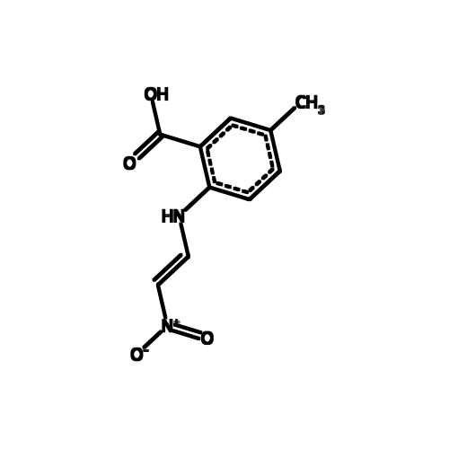 Cc1ccc(NC=C[N+](=O)[O-])c(C(=O)O)c1